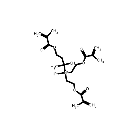 C=C(C)C(=O)OCCC(C)(C)[N+](CCOC(=O)C(=C)C)(CCOC(=O)C(=C)C)C(C)C